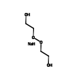 OCCOOCCO.[NaH]